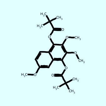 COc1ccc2c(OC(=O)C(C)(C)C)c(OC)c(OC)c(OC(=O)C(C)(C)C)c2c1